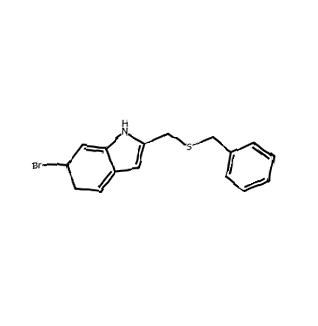 BrC1C=c2[nH]c(CSCc3ccccc3)cc2=CC1